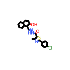 Cc1nc(-c2ccc(Cl)cc2)sc1C(=O)N/N=C/c1c(O)ccc2ccccc12